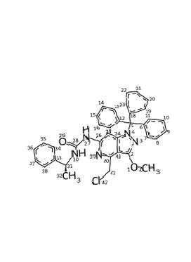 COc1nn(C(c2ccccc2)(c2ccccc2)c2ccccc2)c2cc(NC(=O)N[C@@H](C)c3ccccc3)nc(CCl)c12